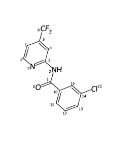 O=C(Nc1cc(C(F)(F)F)ccn1)c1cccc(Cl)c1